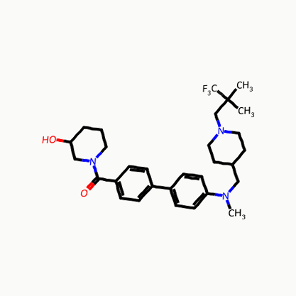 CN(CC1CCN(CC(C)(C)C(F)(F)F)CC1)c1ccc(-c2ccc(C(=O)N3CCCC(O)C3)cc2)cc1